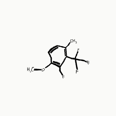 COc1ccc(C)c(C(F)(F)F)c1F